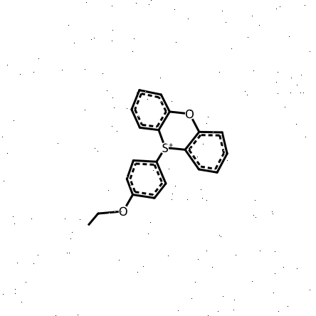 CCOc1ccc([S+]2c3ccccc3Oc3ccccc32)cc1